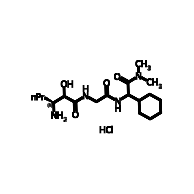 CCC[C@H](N)C(O)C(=O)NCC(=O)NC(C(=O)N(C)C)C1CCCCC1.Cl